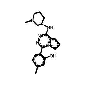 Cc1ccc(-c2nnc(N[C@@H]3CCCN(C)C3)c3cccn23)c(O)c1